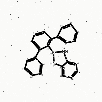 c1ccc(-c2cccc(-c3ccccc3)c2B2Nc3ccccc3N2)cc1